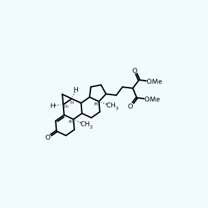 COC(=O)C(CCC1CCC2C3C(CC[C@]12C)[C@@]1(C)CCC(=O)C=C1[C@H]1C[C@@H]31)C(=O)OC